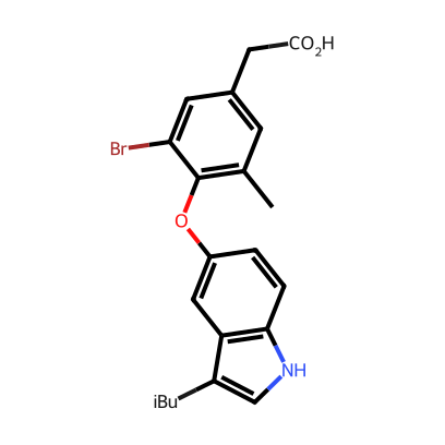 CCC(C)c1c[nH]c2ccc(Oc3c(C)cc(CC(=O)O)cc3Br)cc12